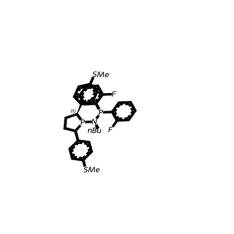 CCCCN(P(c1ccccc1F)c1ccccc1F)P1C(c2ccc(SC)cc2)CC[C@H]1c1ccc(SC)cc1